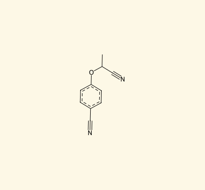 CC(C#N)Oc1ccc(C#N)cc1